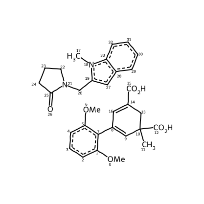 COc1cccc(OC)c1C1=CC(C)(C(=O)O)CC(C(=O)O)=C1.Cn1c(CN2CCCC2=O)cc2ccccc21